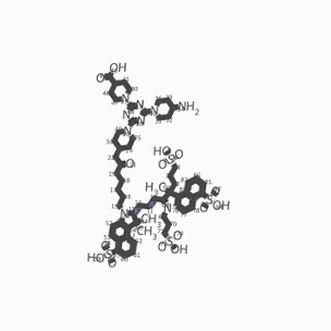 CC1(CCCS(=O)(=O)O)C(/C=C/C=C2/N(CCCCCC(=O)CC3CCN(c4nc(N5CCC(N)CC5)nc(N5CCC(C(=O)O)CC5)n4)CC3)c3ccc4c(S(=O)(=O)O)cccc4c3C2(C)C)=[N+](CCCS(=O)(=O)O)c2ccc3c(S(=O)(=O)O)cccc3c21